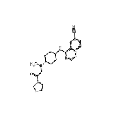 CN(CC(=O)N1CCCC1)[C@H]1CC[C@H](Nc2ncnc3ccc(C#N)cc23)CC1